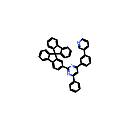 c1ccc(-c2cc(-c3cccc(-c4cccnc4)c3)nc(-c3ccc4c(c3)C3(c5ccccc5-c5ccccc53)c3ccccc3-4)n2)cc1